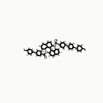 Cc1ccc(-c2ccc(C(=O)Oc3ccc4ccccc4c3-c3c(OC(=O)c4ccc(-c5ccc(-c6ccc(C)cc6)cc5)cc4)ccc4ccccc34)cc2)cc1